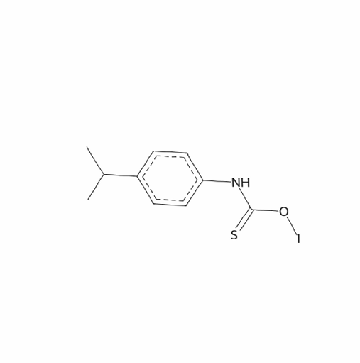 CC(C)c1ccc(NC(=S)OI)cc1